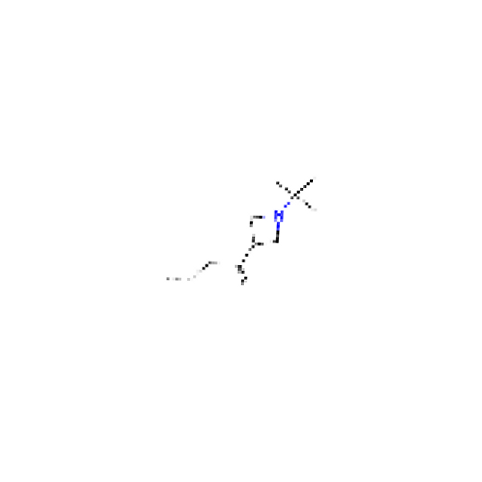 C=C(CCC)C1CN(C(C)(C)C)C1